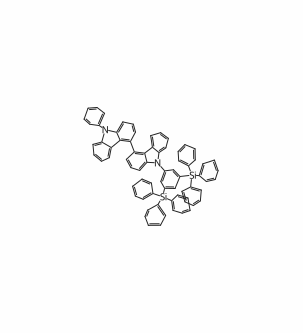 c1ccc(-n2c3ccccc3c3c(-c4cccc5c4c4ccccc4n5-c4cc([Si](c5ccccc5)(c5ccccc5)c5ccccc5)cc([Si](c5ccccc5)(c5ccccc5)c5ccccc5)c4)cccc32)cc1